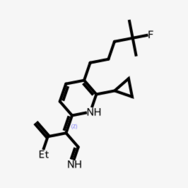 C=C(CC)/C(C=N)=C1\C=CC(CCCC(C)(C)F)=C(C2CC2)N1